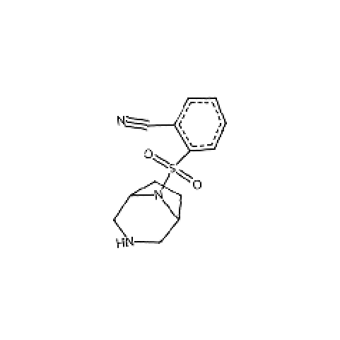 N#Cc1ccccc1S(=O)(=O)N1C2CCC1CNC2